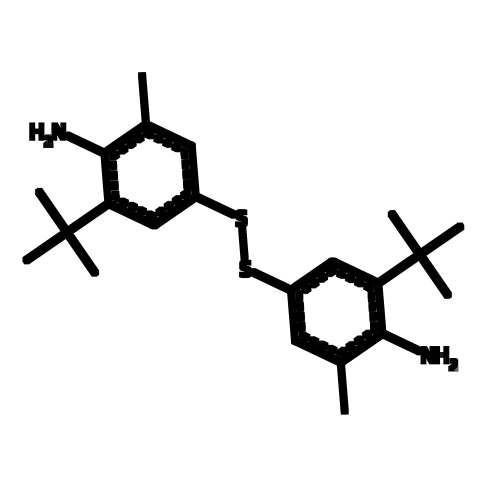 Cc1cc(SSc2cc(C)c(N)c(C(C)(C)C)c2)cc(C(C)(C)C)c1N